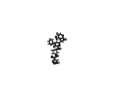 N#Cc1c(-c2c[nH]c3ncc(F)cc23)nc(N[C@@H]2CCC[C@H](NC(=O)c3c[nH]nn3)C2)c(F)c1-c1ccccc1